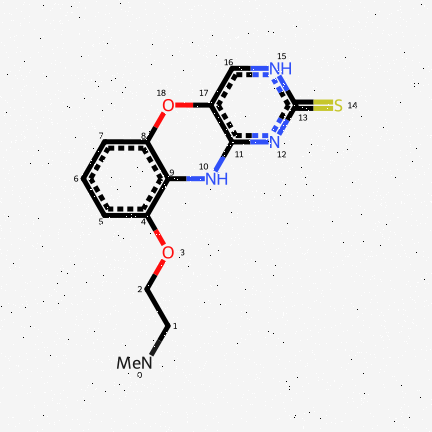 CNCCOc1cccc2c1Nc1nc(=S)[nH]cc1O2